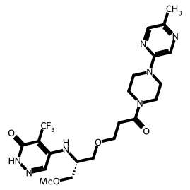 COC[C@@H](COCCC(=O)N1CCN(c2cnc(C)cn2)CC1)Nc1cn[nH]c(=O)c1C(F)(F)F